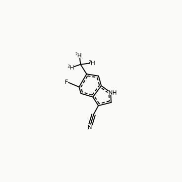 [2H]C([2H])([2H])c1cc2[nH]cc(C#N)c2cc1F